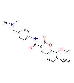 COc1ccc2cc(C(=O)Nc3ccc(CN(C)C(C)=O)cc3)c(=O)oc2c1OC(C)C